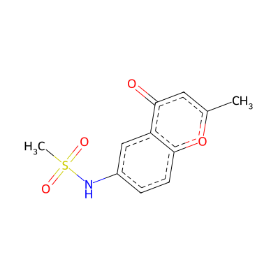 Cc1cc(=O)c2cc(NS(C)(=O)=O)ccc2o1